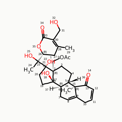 CC(=O)OC[C@]12CC[C@H]3[C@@H](CC=C4CC=CC(=O)[C@@]43C)[C@]1(O)CC[C@@]2(O)C(C)(O)[C@H]1CC(C)=C(CO)C(=O)O1